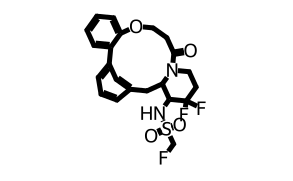 O=C1CCOc2ccccc2-c2cccc(c2)CC2C(NS(=O)(=O)CF)C(F)(F)CCN12